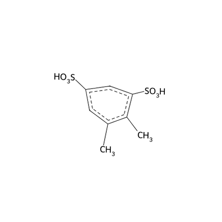 Cc1cc(S(=O)(=O)O)cc(S(=O)(=O)O)c1C